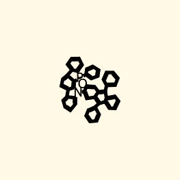 O=P1(c2ccccc2)c2ccccc2-c2ccc3c4ccccc4n(-c4ccc5c(-c6ccccc6)c6ccccc6c(-c6ccccc6)c5c4)c3c21